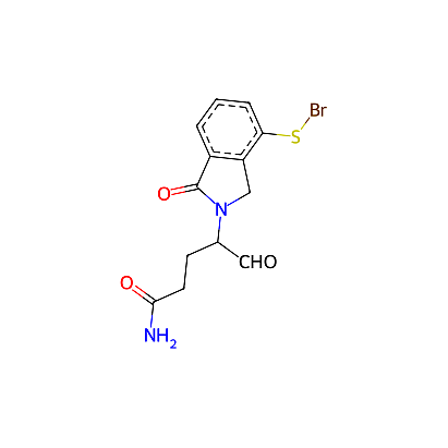 NC(=O)CCC(C=O)N1Cc2c(SBr)cccc2C1=O